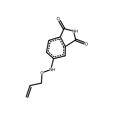 C=CCONc1ccc2c(c1)C(=O)NC2=O